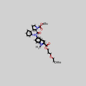 COCCOCCCOC(=O)c1cc2cc(NC(=O)[C@H]3[C@H](C4CCCCC4)CCN3C(=O)OC(C)(C)C)ccc2n1C